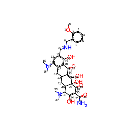 COc1ccccc1CNCc1cc(N(C)C)c2c(c1O)C(=O)C1=C(O)C3(O)C(=O)C(C(N)=O)=C(O)C(N(C)C)C3CC1C2